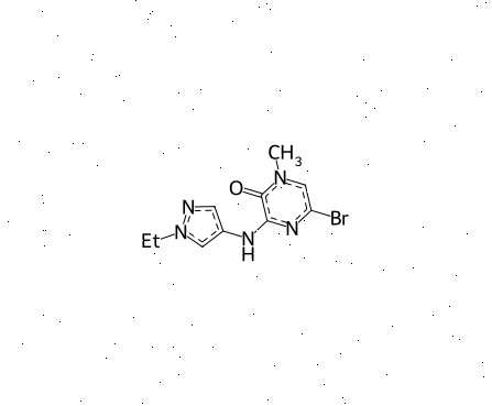 CCn1cc(Nc2nc(Br)cn(C)c2=O)cn1